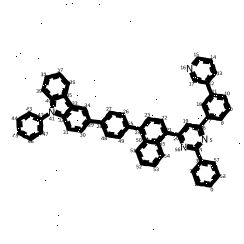 c1ccc(-c2nc(-c3cccc(-c4cccnc4)c3)cc(-c3ccc(-c4ccc(-c5ccc6c(c5)c5ccccc5n6-c5ccccc5)cc4)c4ccccc34)n2)cc1